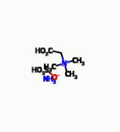 C[N+](C)(C)CC(=O)O.N.O=S(=O)([O-])O